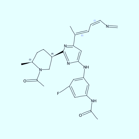 C=N/C=C\C=C(/C)c1cc(Nc2cc(F)cc(NC(C)=O)c2)nc([C@@H]2CC[C@H](C)N(C(C)=O)C2)n1